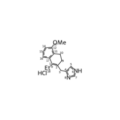 CCC1=C(Cc2c[nH]cn2)CCc2c(OC)cccc21.Cl